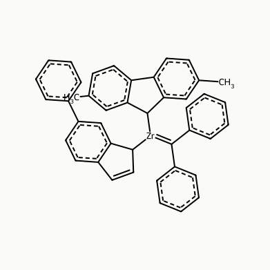 Cc1ccc2c(c1)[CH]([Zr](=[C](c1ccccc1)c1ccccc1)[CH]1C=Cc3ccc(-c4ccccc4)cc31)c1cc(C)ccc1-2